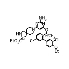 CCOC(=O)[C@@H]1CC2(CCN(c3cc(O[C@H](c4ccc(Cl)cc4-c4ccc(OCC)c(Cl)c4)C(F)(F)F)nc(N)n3)CC2)CN1